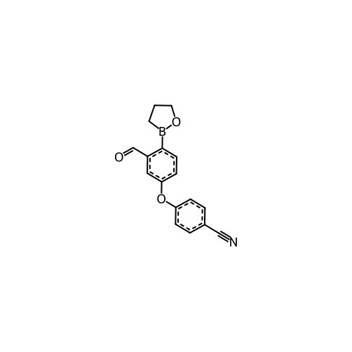 N#Cc1ccc(Oc2ccc(B3CCCO3)c(C=O)c2)cc1